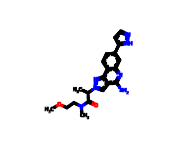 COCCN(C)C(=O)C(C)n1cc2c(N)nc3cc(-c4ccn[nH]4)ccc3c2n1